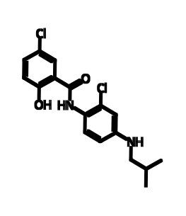 CC(C)CNc1ccc(NC(=O)c2cc(Cl)ccc2O)c(Cl)c1